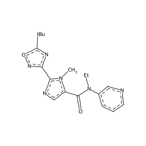 CCN(C(=O)c1cnc(-c2noc(C(C)(C)C)n2)n1C)c1cccnc1